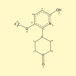 O=C1CCC(c2nc(O)ccc2OC(F)(F)F)CC1